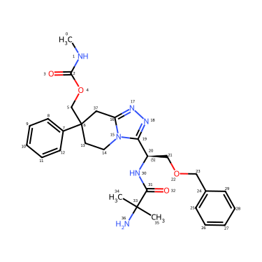 CNC(=O)OCC1(c2ccccc2)CCn2c(nnc2[C@@H](COCc2ccccc2)NC(=O)C(C)(C)N)C1